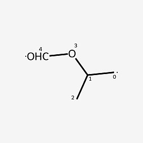 [CH2]C(C)O[C]=O